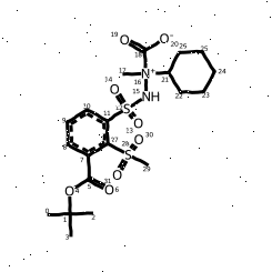 CC(C)(C)OC(=O)c1cccc(S(=O)(=O)N[N+](C)(C(=O)[O-])C2CCCCC2)c1S(C)(=O)=O